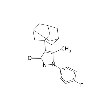 CC1=C(C23CC4CC(CC(C4)C2)C3)C(=O)[N]N1c1ccc(F)cc1